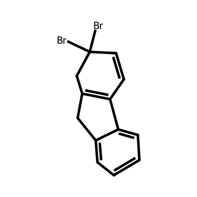 BrC1(Br)C=CC2=C(Cc3ccccc32)C1